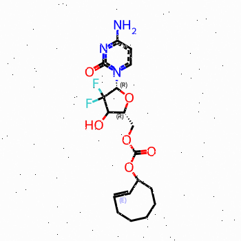 Nc1ccn([C@@H]2O[C@H](COC(=O)OC3/C=C/CCCCC3)C(O)C2(F)F)c(=O)n1